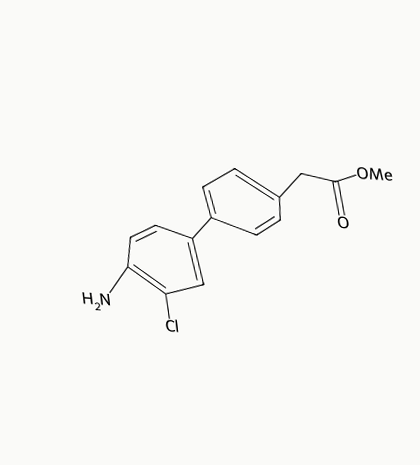 COC(=O)Cc1ccc(-c2ccc(N)c(Cl)c2)cc1